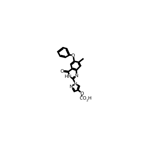 Cc1cc2nc(-n3cc(OC(=O)O)cn3)[nH]c(=O)c2cc1Oc1ccccc1